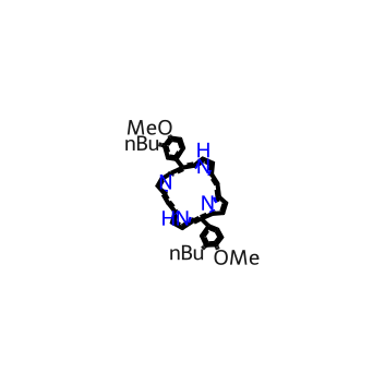 CCCCc1cc(-c2c3nc(cc4ccc([nH]4)c(-c4ccc(OC)c(CCCC)c4)c4nc(cc5ccc2[nH]5)C=C4)C=C3)ccc1OC